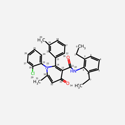 CCc1cccc(CC)c1NC(=O)c1c(-c2cccc(C)c2)n(-c2ccccc2Cl)c(C)cc1=O